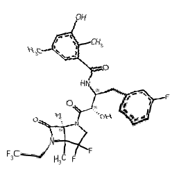 Cc1cc(O)c(C)c(C(=O)N[C@@H](Cc2cccc(F)c2)[C@H](O)C(=O)N2CC(F)(F)C3(C)[C@H]2C(=O)N3CC(F)(F)F)c1